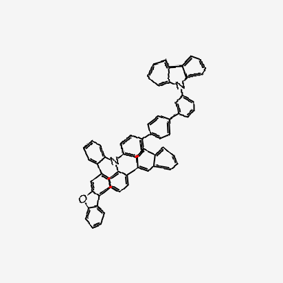 c1cc(-c2ccc(-c3ccc(N(c4ccccc4-c4ccc5ccccc5c4)c4ccccc4-c4ccc5c(c4)oc4ccccc45)cc3)cc2)cc(-n2c3ccccc3c3ccccc32)c1